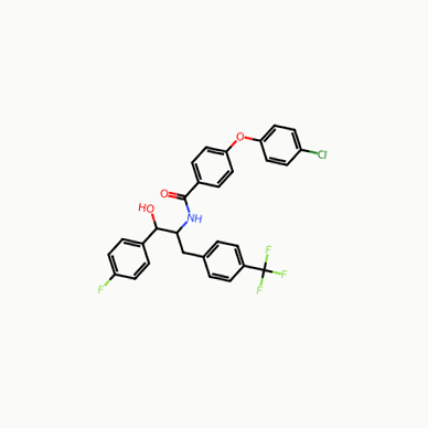 O=C(NC(Cc1ccc(C(F)(F)F)cc1)C(O)c1ccc(F)cc1)c1ccc(Oc2ccc(Cl)cc2)cc1